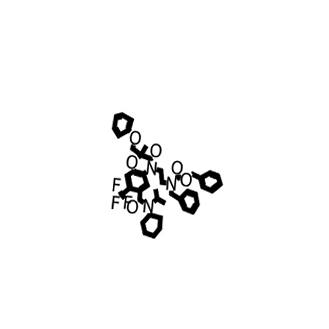 CC(C)N(C(=O)c1cc2c(cc1C(F)(F)F)OC(C)(COc1ccccc1)C(=O)N2CCN(Cc1ccccc1)C(=O)OCc1ccccc1)C1CCCCC1